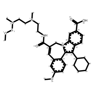 COSN(C)CCN(C)CCNC(=O)C1=Cc2cc(OC)ccc2-c2c(C3CCCCC3)c3ccc(C(=O)O)cc3n2C1